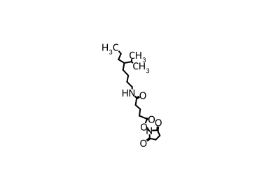 CCCC(CCCCNC(=O)CCCC(=O)ON1C(=O)CCC1=O)C(C)C